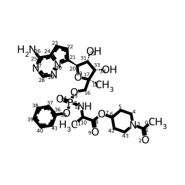 CC(=O)N1CCC(OC(=O)C(C)NP(=O)(OC[C@@]2(C)O[C@@H](c3ccc4c(N)ncnn34)[C@H](O)[C@@H]2O)Oc2ccccc2)CC1